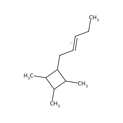 CC/C=C/CC1C(C)C(C)C1C